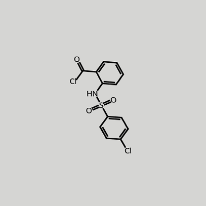 O=C(Cl)c1ccccc1NS(=O)(=O)c1ccc(Cl)cc1